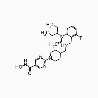 C=CN(c1cccc(F)c1CNCC1CCN(c2ncc(C(=O)NO)cn2)CC1)C(CC)CC